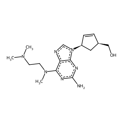 CN(C)CCN(C)c1nc(N)nc2c1ncn2[C@H]1C=C[C@@H](CO)C1